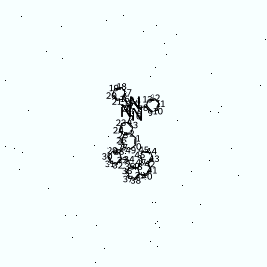 C1=Cc2cc(-c3nc(-c4ccccc4)nc(-c4ccccc4)n3)ccc2C=C(c2ccccc2Cc2cccc3ccc4ccccc4c23)C1